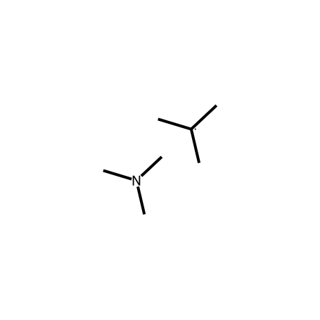 CN(C)C.C[C](C)C